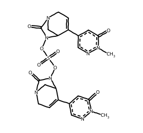 Cn1ncc(C2=CCN3CC2N(OS(=O)(=O)ON2C(=O)N4CC=C(c5cnn(C)c(=O)c5)C2C4)C3=O)cc1=O